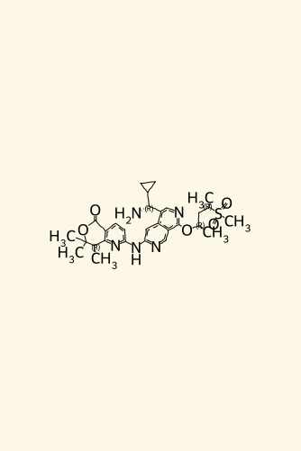 C[C@H](C[C@@H](C)S(C)(=O)=O)Oc1ncc([C@H](N)C2CC2)c2cc(Nc3ccc4c(n3)[C@@H](C)C(C)(C)OC4=O)ncc12